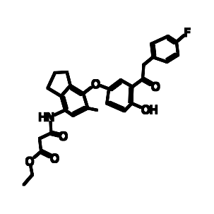 CCOC(=O)CC(=O)Nc1cc(C)c(Oc2ccc(O)c(C(=O)Cc3ccc(F)cc3)c2)c2c1CCC2